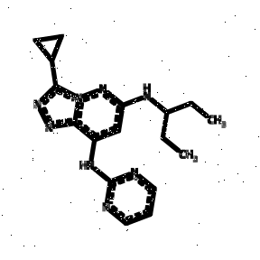 CCC(CC)Nc1cc(Nc2ncccn2)c2nnc(C3CC3)n2n1